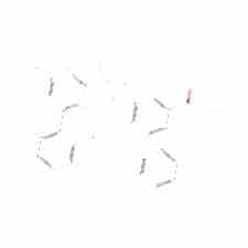 COC(=O)c1cccc(S(=O)(=O)Nc2nc(Cl)cc(-c3c(C)cccc3COCc3ccccc3)n2)c1